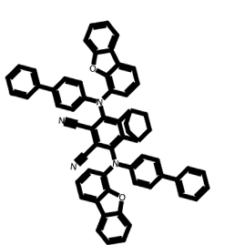 N#Cc1c(C#N)c(N(c2ccc(-c3ccccc3)cc2)c2cccc3c2oc2ccccc23)c2c(c1N(c1ccc(-c3ccccc3)cc1)c1cccc3c1oc1ccccc13)C1CCC2CC1